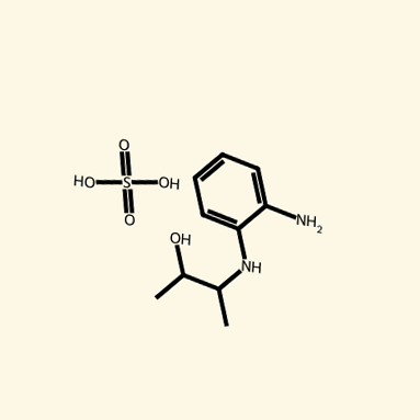 CC(O)C(C)Nc1ccccc1N.O=S(=O)(O)O